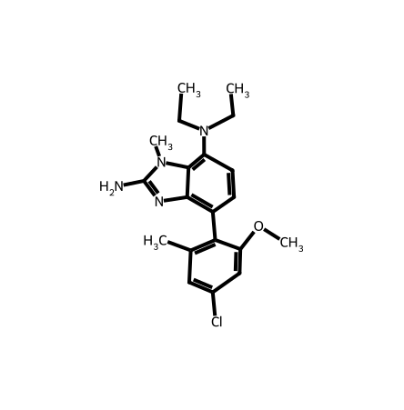 CCN(CC)c1ccc(-c2c(C)cc(Cl)cc2OC)c2nc(N)n(C)c12